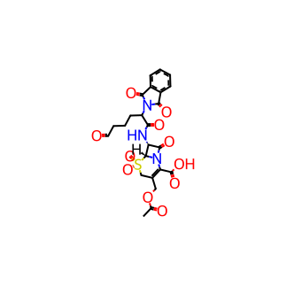 CC(=O)OCC1=C(C(=O)O)N2C(=O)[C@@H](NC(=O)C(CCCC=O)N3C(=O)c4ccccc4C3=O)[C@H]2S(=O)(=O)C1